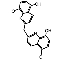 Oc1ccc(O)c2nc(Cc3ccc4c(O)ccc(O)c4n3)ccc12